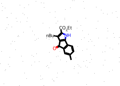 CCCCc1c(C(=O)OCC)[nH]c2c1C(=O)c1cc(C)ccc1-2